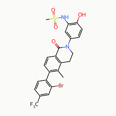 Cc1c(-c2ccc(C(F)(F)F)cc2Br)ccc2c1CCN(c1ccc(O)c(NS(C)(=O)=O)c1)C2=O